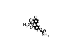 CC(C)N(C(=O)c1ccc(OCC(N)=O)cc1)c1cccc(Cl)c1Cl